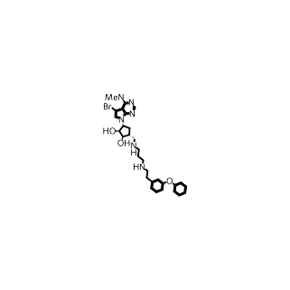 CNc1ncnc2c1c(Br)cn2[C@@H]1C[C@H](CNCCCNCCc2cccc(Oc3ccccc3)c2)[C@@H](O)[C@H]1O